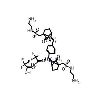 CC1(C)C2CCC1(CS(=O)(=O)NCCN)C(=O)/C2=C\c1ccc(/C=C2\C(=O)C3(CS(=O)(=O)NCCN)CCC2C3(C)C)cc1.O=C(O)C(F)(F)F.O=C(O)C(F)(F)F